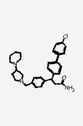 NC(=O)CC(c1ccc(CN2CCC(N3CCCCC3)C2)cc1)c1ccc(-c2ccc(Cl)cc2)cc1